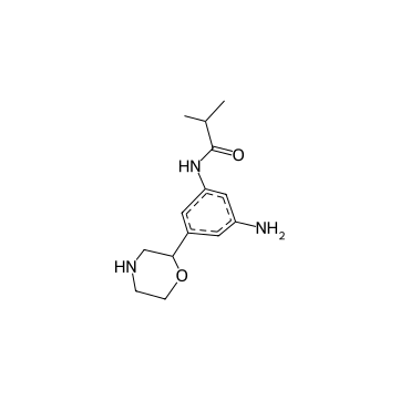 CC(C)C(=O)Nc1cc(N)cc(C2CNCCO2)c1